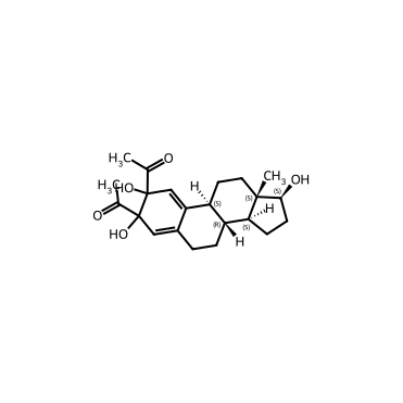 CC(=O)C1(O)C=C2CC[C@@H]3[C@H](CC[C@]4(C)[C@@H](O)CC[C@@H]34)C2=CC1(O)C(C)=O